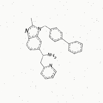 Cc1nc2ccc(C(N)Cc3ccccn3)cc2n1Cc1ccc(-c2ccccc2)cc1